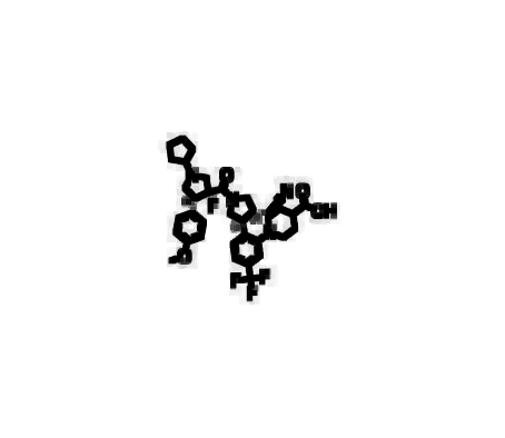 COc1ccc([C@@H]2CN(C3CCCC3)C[C@@]2(F)C(=O)N2C[C@H](CC#N)[C@@H](c3ccc(C(F)(F)F)cc3N3CCC(C(=O)O)CC3)C2)cc1